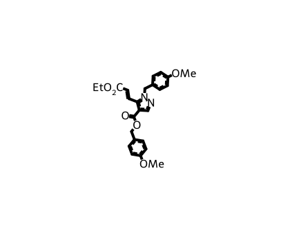 CCOC(=O)/C=C/c1c(C(=O)OCc2ccc(OC)cc2)cnn1Cc1ccc(OC)cc1